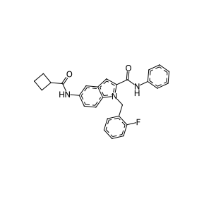 O=C(Nc1ccccc1)c1cc2cc(NC(=O)C3CCC3)ccc2n1Cc1ccccc1F